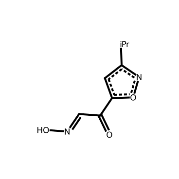 CC(C)c1cc(C(=O)C=NO)on1